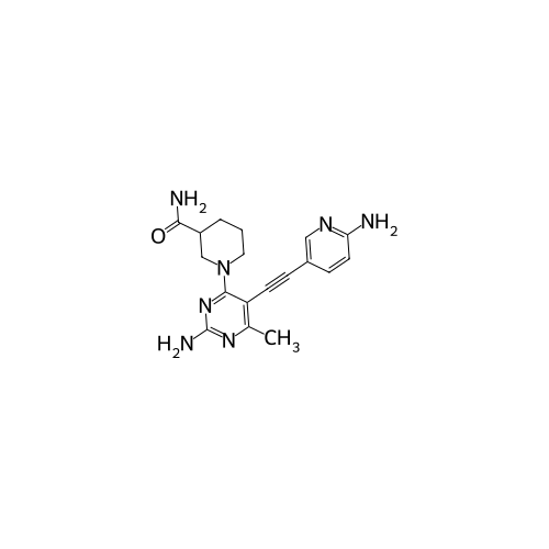 Cc1nc(N)nc(N2CCCC(C(N)=O)C2)c1C#Cc1ccc(N)nc1